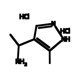 Cc1[nH]ncc1C(C)N.Cl.Cl